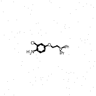 CC(C)N(CCOc1ccc(N)c(Cl)c1)C(C)C